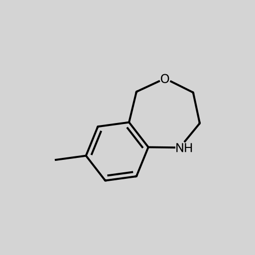 Cc1ccc2c(c1)COCCN2